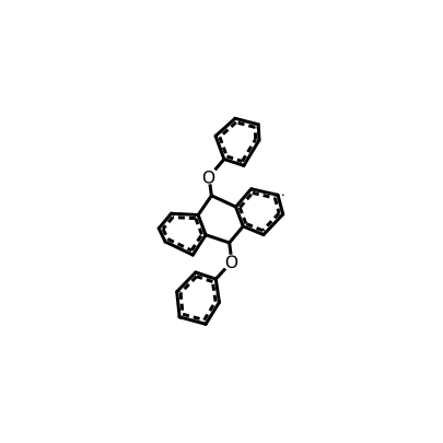 [c]1ccc2c(c1)C(Oc1ccccc1)c1ccccc1C2Oc1ccccc1